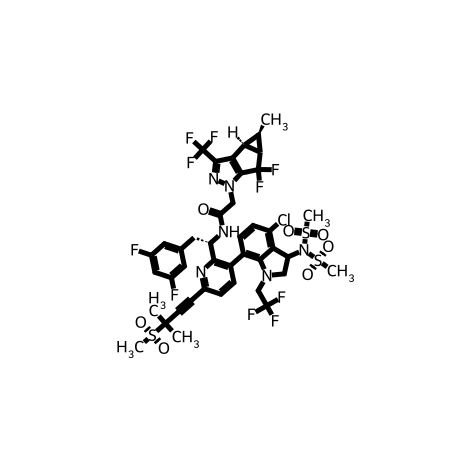 C[C@H]1C2[C@H]1c1c(C(F)(F)F)nn(CC(=O)N[C@@H](Cc3cc(F)cc(F)c3)c3nc(C#CC(C)(C)S(C)(=O)=O)ccc3-c3ccc(Cl)c4c3N(CC(F)(F)F)CC4N(S(C)(=O)=O)S(C)(=O)=O)c1C2(F)F